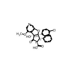 COc1cncc2c1[C@]1(O)C(=O)[C@H](C(=O)O)[C@@H](c3ccccc3)[C@]1(c1ccc(Cl)cc1)O2